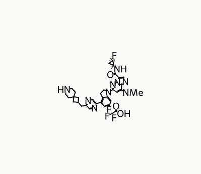 CNc1cc(N2CCc3c(-c4cnc(CC5CC6(CCNCC6)C5)cn4)cccc32)nn2c(C(=O)N[C@@H]3C[C@@H]3F)cnc12.O=C(O)C(F)(F)F